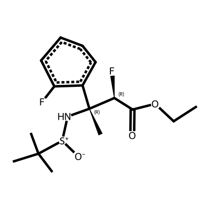 CCOC(=O)[C@H](F)[C@](C)(N[S+]([O-])C(C)(C)C)c1ccccc1F